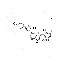 CCc1nn(C2CCC(O)CC2)cc1-c1cnc2[nH]cc([C@H](C)c3c(OC)ccc(F)c3Cl)c2c1